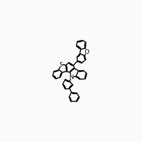 c1ccc(-c2cccc(-n3c4ccccc4c4c(-c5ccc6oc7ccccc7c6c5)cc5sc6ccccc6c5c43)c2)cc1